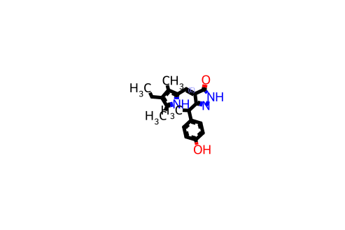 CCc1c(C)[nH]c(/C=C2/C(=O)NN=C2C(C)c2ccc(O)cc2)c1C